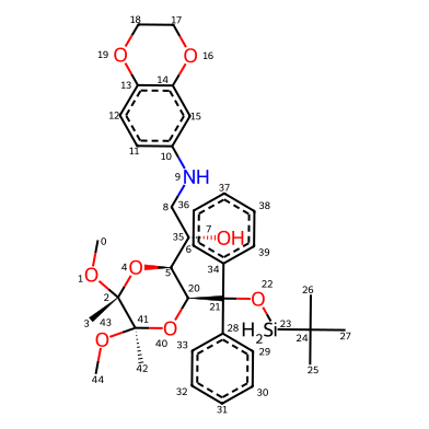 CO[C@]1(C)O[C@@H]([C@@H](O)CNc2ccc3c(c2)OCCO3)[C@@H](C(O[SiH2]C(C)(C)C)(c2ccccc2)c2ccccc2)O[C@@]1(C)OC